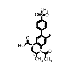 CC(=O)N1c2cc(F)c(-c3ccc(S(C)(=O)=O)cc3)cc2N(C(=O)O)C[C@@H]1C